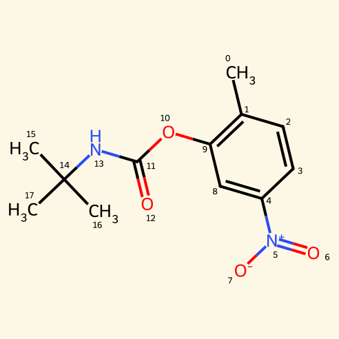 Cc1ccc([N+](=O)[O-])cc1OC(=O)NC(C)(C)C